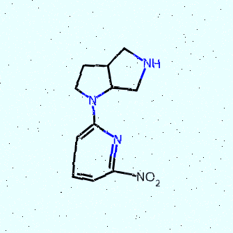 O=[N+]([O-])c1cccc(N2CCC3CNCC32)n1